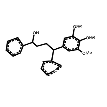 COc1cc(C(CCC(O)c2ccccc2)c2[c]cccc2)cc(OC)c1OC